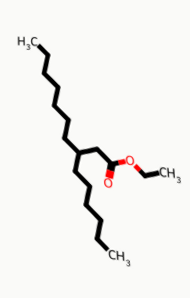 CCCCCCCC(CCCCCC)CC(=O)OCC